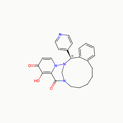 O=C1c2c(O)c(=O)ccn2N2CN1CCCCCc1ccccc1[C@@H]2c1ccncc1